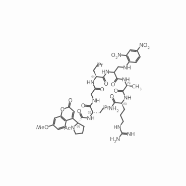 COc1ccc2c([C@@]3(C(=O)N[C@@H](CC(C)C)C(=O)NCC(=O)N[C@@H](CC(C)C)C(=O)NC(CNc4ccc([N+](=O)[O-])cc4[N+](=O)[O-])C(=O)N[C@@H](C)C(=O)N[C@@H](CCCNC(=N)N)C(N)=O)CCCN3C(C)=O)cc(=O)oc2c1